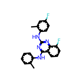 Cc1cc(F)ccc1Nc1nc(Nc2ccccc2C)c2cccc(F)c2n1